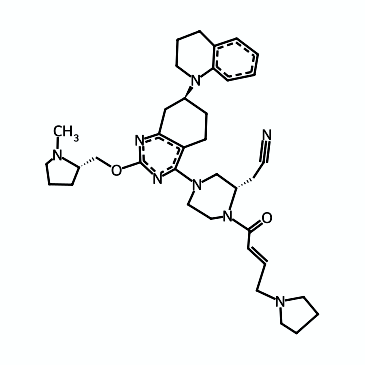 CN1CCC[C@H]1COc1nc2c(c(N3CCN(C(=O)/C=C/CN4CCCC4)[C@@H](CC#N)C3)n1)CC[C@H](N1CCCc3ccccc31)C2